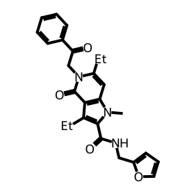 CCc1c(C(=O)NCc2ccco2)n(C)c2cc(CC)n(CC(=O)c3ccccc3)c(=O)c12